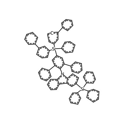 c1ccc(-c2cccc([Si](c3ccccc3)(c3cccc(-c4ccccc4)c3)c3cc(-c4ccccc4)c(-n4c5ccccc5c5cc([Si](c6ccccc6)(c6ccccc6)c6ccccc6)ccc54)c(-c4ccccc4)c3)c2)cc1